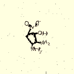 Nc1ccc([N+](=O)[O-])c(O)c1N